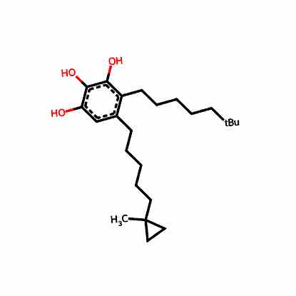 CC(C)(C)CCCCCc1c(CCCCCC2(C)CC2)cc(O)c(O)c1O